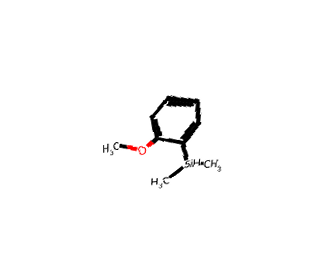 COc1ccccc1[SiH](C)C